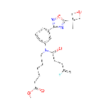 C=C(F)CCC(=O)N(CCCCCC(=O)OC)c1cccc(-c2noc(C3(C)COC3)n2)c1